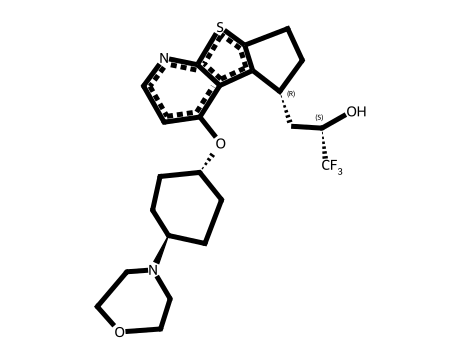 O[C@@H](C[C@H]1CCc2sc3nccc(O[C@H]4CC[C@H](N5CCOCC5)CC4)c3c21)C(F)(F)F